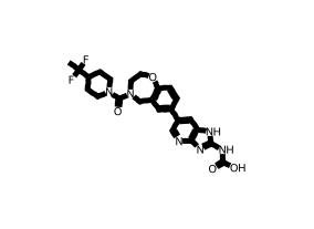 CC(F)(F)C1CCN(C(=O)N2CCOc3ccc(-c4cnc5nc(NC(=O)O)[nH]c5c4)cc3C2)CC1